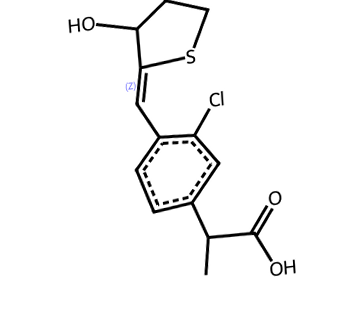 CC(C(=O)O)c1ccc(/C=C2\SCCC2O)c(Cl)c1